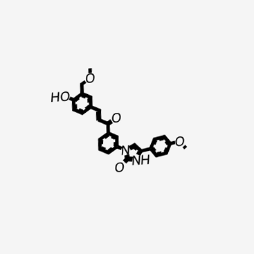 COCc1cc(/C=C/C(=O)c2cccc(-n3cc(-c4ccc(OC)cc4)[nH]c3=O)c2)ccc1O